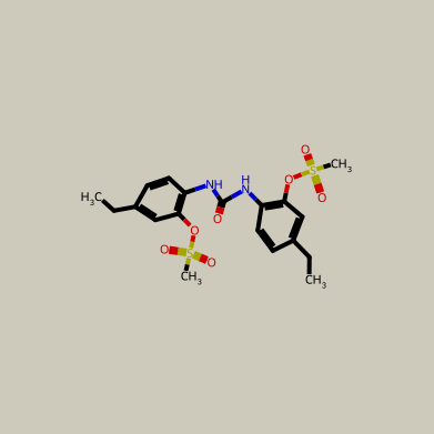 CCc1ccc(NC(=O)Nc2ccc(CC)cc2OS(C)(=O)=O)c(OS(C)(=O)=O)c1